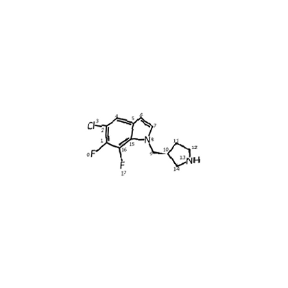 Fc1c(Cl)cc2ccn(C[C@H]3CCNC3)c2c1F